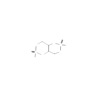 O=P1(F)OCC2OP(=O)(Cl)OCC2O1